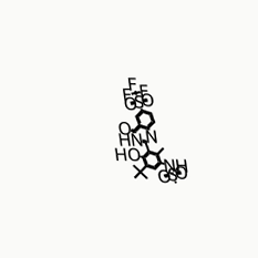 Cc1c(NS(C)(=O)=O)cc(C(C)(C)C)c(O)c1-c1nc2ccc(S(=O)(=O)C(F)(F)F)cc2c(=O)[nH]1